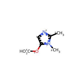 Cc1ncc(OC(=O)O)n1C